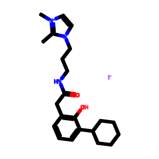 Cc1n(CCCNC(=O)Cc2cccc(C3CCCCC3)c2O)cc[n+]1C.[I-]